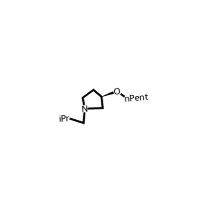 CCCCCO[C@@H]1CCN(CC(C)C)C1